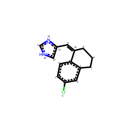 Clc1ccc2c(c1)CCC/C2=C/c1c[nH]cn1